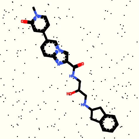 Cn1ccc(-c2ccc3nc(C(=O)NCC(O)CNC4Cc5ccccc5C4)cn3c2)cc1=O